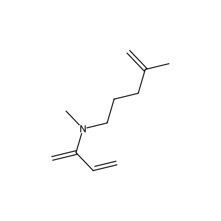 C=CC(=C)N(C)CCCC(=C)C